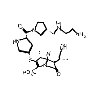 C[C@@H](O)[C@H]1C(=O)N2C(C(=O)O)=C(S[C@@H]3CN[C@H](C(=O)N4CC[C@H](CNCCN)C4)C3)[C@H](C)[C@H]12